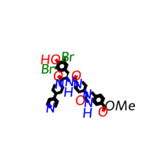 COC(=O)c1ccc2c(c1)NC(=O)N(C1CCN(C(=O)N[C@H](Cc3cc(Br)c(O)c(Br)c3)C(=O)N3CCC(c4ccncc4)CC3)CC1)C2